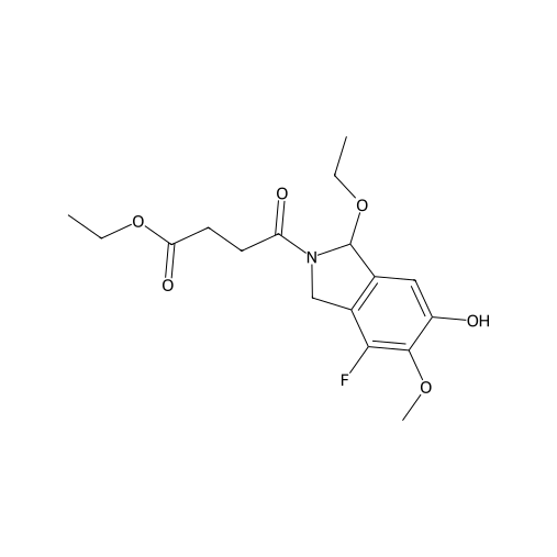 CCOC(=O)CCC(=O)N1Cc2c(cc(O)c(OC)c2F)C1OCC